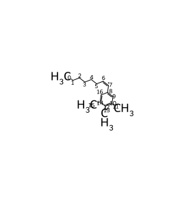 CCCCCC/C=[C]\c1cc(C)c(C)c(C)c1